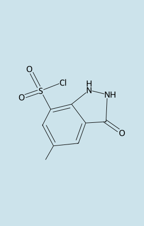 Cc1cc(S(=O)(=O)Cl)c2[nH][nH]c(=O)c2c1